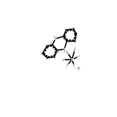 F[P-](F)(F)(F)(F)F.[H+].c1ccc2c(c1)Sc1ccccc1S2